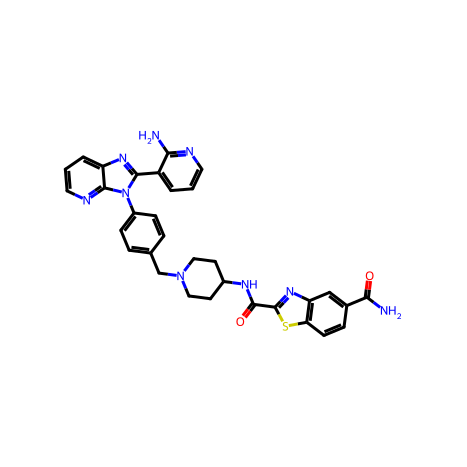 NC(=O)c1ccc2sc(C(=O)NC3CCN(Cc4ccc(-n5c(-c6cccnc6N)nc6cccnc65)cc4)CC3)nc2c1